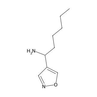 CCCCCC(N)c1cnoc1